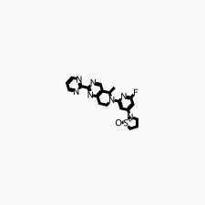 CC1c2cnc(-c3ncccn3)nc2CCN1c1cc(N2CCC[S+]2[O-])cc(F)n1